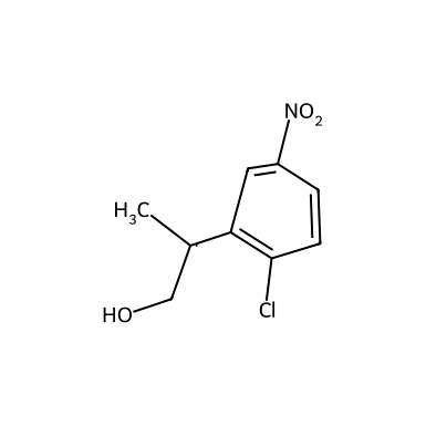 C[C](CO)c1cc([N+](=O)[O-])ccc1Cl